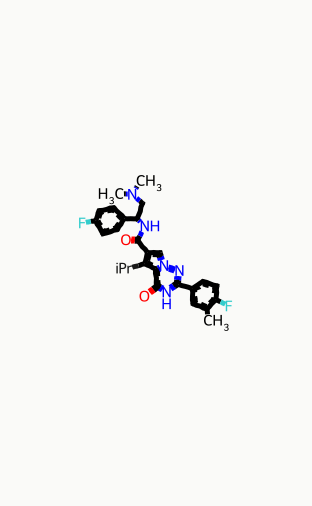 Cc1cc(-c2nn3cc(C(=O)NC(CN(C)C)c4ccc(F)cc4)c(C(C)C)c3c(=O)[nH]2)ccc1F